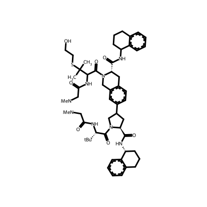 CNCC(=O)NC(C(=O)N1Cc2cc(C3C[C@@H](C(=O)N[C@@H]4CCCc5ccccc54)N(C(=O)[C@@H](NC(=O)CNC)C(C)(C)C)C3)ccc2C[C@H]1C(=O)NC1CCCc2ccccc21)C(C)(C)SCCO